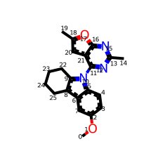 COc1ccc2c(c1)c1c(n2-c2nc(C)nc3oc(C)cc23)CCCC1